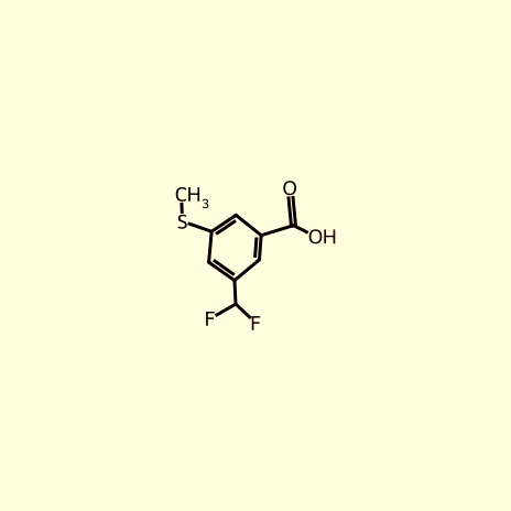 CSc1cc(C(=O)O)cc(C(F)F)c1